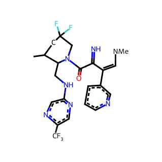 CN/C=C(\C(=N)C(=O)N1CC(F)(F)CC(C)C1CNc1cnc(C(F)(F)F)cn1)c1cccnc1